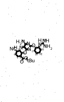 CC(C)(C)OC(=O)c1ccc(C#N)cc1Oc1nc(Oc2ccccc2NC(=N)N)nc(N)c1N